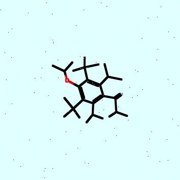 [C]=C(c1c(C(C)C)c(C(C)(C)C)c(OC(C)C)c(C(C)(C)C)c1C(C)C)C(C)C